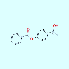 C[C@@H](O)c1ccc(OC(=O)c2ccccc2)cc1